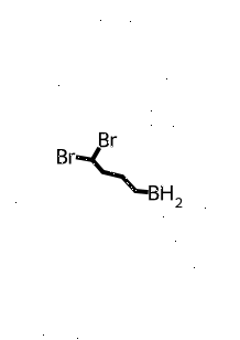 BCCCC(Br)Br